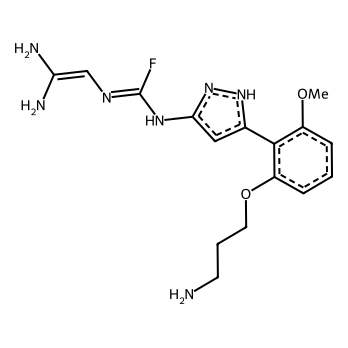 COc1cccc(OCCCN)c1-c1cc(N/C(F)=N/C=C(N)N)n[nH]1